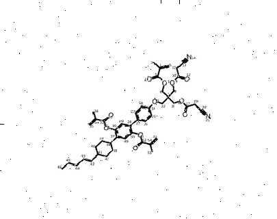 C=C(C)C(=O)OCC(COC(=O)CC#N)(COC(=O)CC#N)COc1ccc(-c2cc(OC(=O)C(=C)C)c(C3CCC(CCCCC)CC3)cc2OC(=O)C(=C)C)cc1